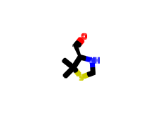 CC1(C)SCN[C@@H]1[C]=O